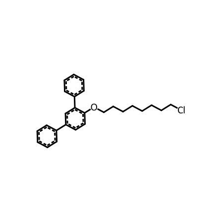 ClCCCCCCCCOc1ccc(-c2ccccc2)cc1-c1ccccc1